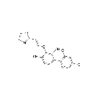 Oc1c(-c2ncc(Cl)cc2Cl)ccc(Cl)c1OC=CC1=NCCO1